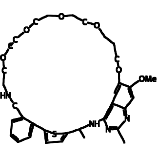 COc1cc2nc(C)nc3c2cc1OCCCOCCOCCOCCOCCNCc1ccccc1-c1ccc(s1)C(C)N3